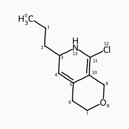 CCCC1C=C2CCOCC2=C(Cl)N1